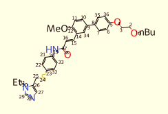 CCCCOCCOc1ccc(-c2ccc(OC)c(/C=C/C(=O)Nc3ccc(SCc4cncn4CC)cc3)c2)cc1